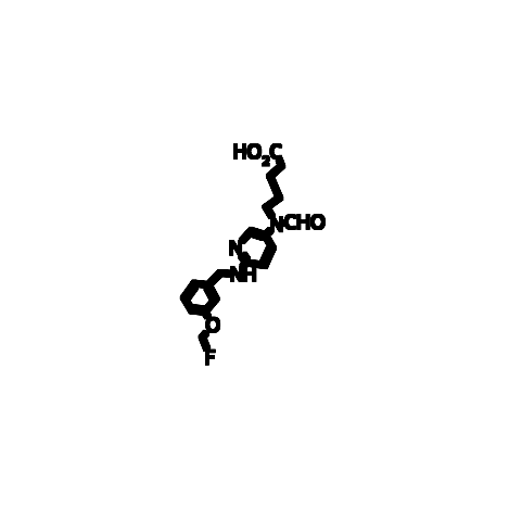 O=CN(CCCCC(=O)O)c1ccc(NCc2cccc(OCF)c2)nc1